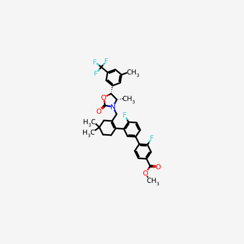 COC(=O)c1ccc(-c2ccc(F)c(C3=C(CN4C(=O)O[C@H](c5cc(C)cc(C(F)(F)F)c5)[C@@H]4C)CC(C)(C)CC3)c2)c(F)c1